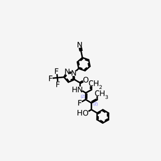 C=C/C(NC(=O)c1cc(C(F)(F)F)nn1-c1cccc(C#N)c1)=C(F)\C(=C/C)C(O)c1ccccc1